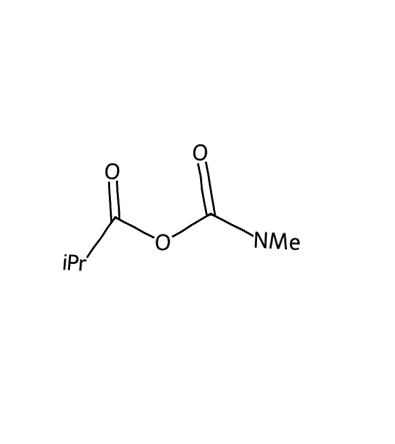 CNC(=O)OC(=O)C(C)C